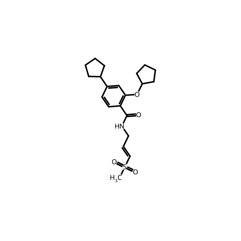 CS(=O)(=O)C=CCNC(=O)c1ccc(C2CCCC2)cc1OC1CCCC1